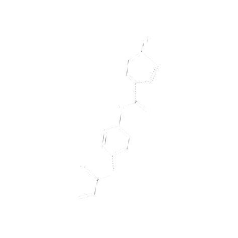 C=CC(=O)Oc1ccc(OC(=O)c2ccc(CCCC)cc2)cc1